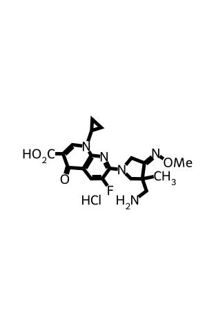 CON=C1CN(c2nc3c(cc2F)c(=O)c(C(=O)O)cn3C2CC2)CC1(C)CN.Cl